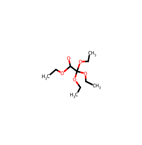 CCOC([O])C(OCC)(OCC)OCC